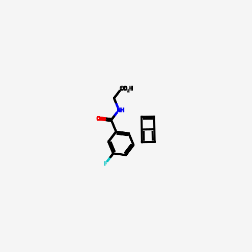 O=C(O)CNC(=O)c1cccc(F)c1.c1cc2ccc1-2